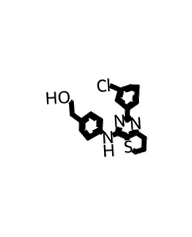 OCCc1ccc(Nc2nc(-c3cccc(Cl)c3)nc3c2SCCC3)cc1